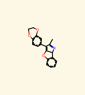 CC1=NC2C(=C1c1ccc3c(c1)OCCO3)Oc1ccccc12